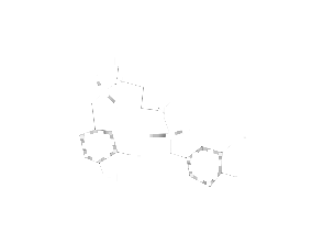 CCN(CCN(CC)S(=O)(=O)Cc1ccc(O)c(O)c1)S(=O)(=O)Cc1ccc(O)c(O)c1